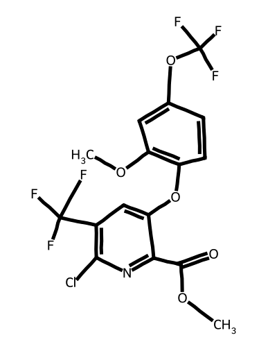 COC(=O)c1nc(Cl)c(C(F)(F)F)cc1Oc1ccc(OC(F)(F)F)cc1OC